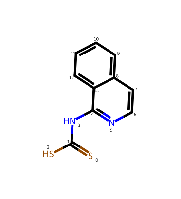 S=C(S)Nc1nccc2ccccc12